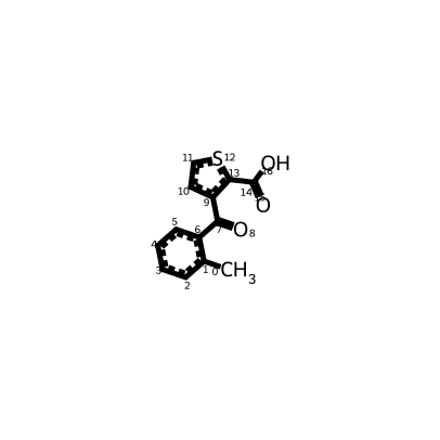 Cc1ccccc1C(=O)c1ccsc1C(=O)O